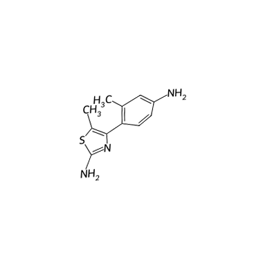 Cc1cc(N)ccc1-c1nc(N)sc1C